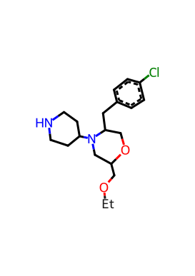 CCOCC1CN(C2CCNCC2)C(Cc2ccc(Cl)cc2)CO1